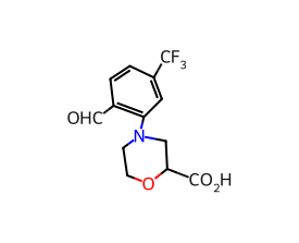 O=Cc1ccc(C(F)(F)F)cc1N1CCOC(C(=O)O)C1